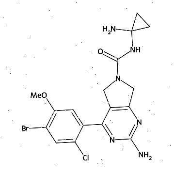 COc1cc(-c2nc(N)nc3c2CN(C(=O)NC2(N)CC2)C3)c(Cl)cc1Br